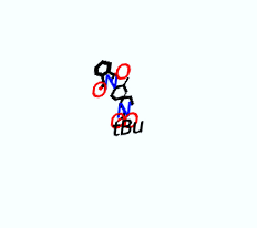 C[C@H]1C[C@]2(CC[C@@H]1N1C(=O)c3ccccc3C1=O)CCN(C(=O)OC(C)(C)C)C2